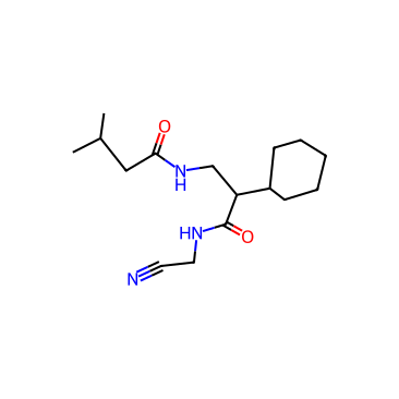 CC(C)CC(=O)NCC(C(=O)NCC#N)C1CCCCC1